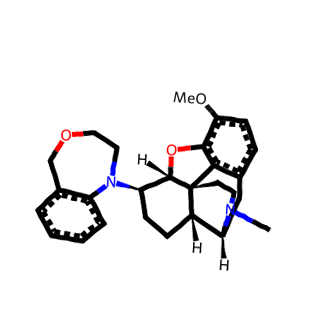 COc1ccc2c3c1O[C@H]1[C@H](N4CCOCc5ccccc54)CC[C@H]4[C@@H](C2)N(C)CC[C@@]341